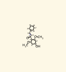 COc1cc(O)cc(OC)c1C(=O)/C=C/c1ccccc1